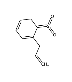 C=C[CH]C1=CC=CCC1=S(=O)=O